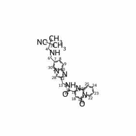 CC(C)(C#N)CNCc1ccc2nc(CNC(=O)c3cc(=O)n4ccccc4n3)cn2c1